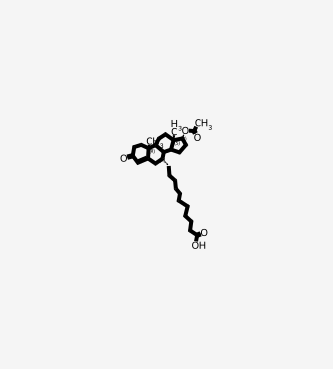 CC(=O)O[C@@H]1CCC2C3C(CC[C@@]21C)[C@@]1(C)CCC(=O)C=C1C[C@H]3CCCCCCCCCCC(=O)O